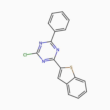 Clc1nc(-c2ccccc2)nc(-c2cc3ccccc3s2)n1